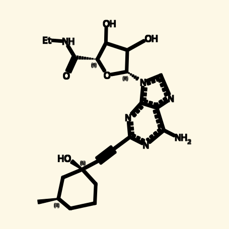 CCNC(=O)[C@H]1O[C@@H](n2cnc3c(N)nc(C#C[C@]4(O)CCC[C@@H](C)C4)nc32)C(O)C1O